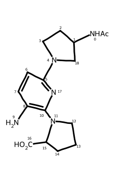 CC(=O)NC1CCN(c2ccc(N)c(N3CCCC3C(=O)O)n2)C1